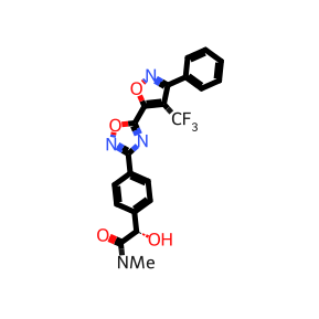 CNC(=O)[C@@H](O)c1ccc(-c2noc(-c3onc(-c4ccccc4)c3C(F)(F)F)n2)cc1